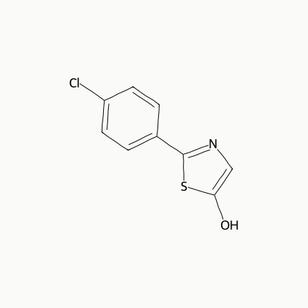 Oc1cnc(-c2ccc(Cl)cc2)s1